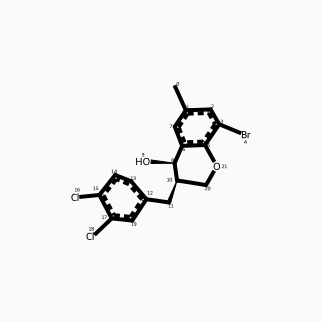 Cc1cc(Br)c2c(c1)[C@H](O)[C@H](Cc1ccc(Cl)c(Cl)c1)CO2